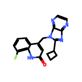 O=c1cc(Cn2c(C3CCC3)nc3nccnc32)c2cccc(F)c2[nH]1